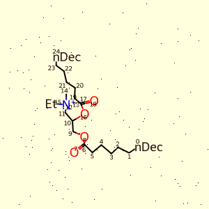 CCCCCCCCCCCCCCCC(=O)OCC(C[N+](C)(C)CC)OC(=O)CCCCCCCCCCCCCCC